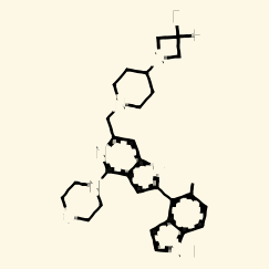 Fc1ccc2[nH]ccc2c1-c1cc2c(N3CCOCC3)nc(CN3CCC(N4CC(F)(F)C4)CC3)cc2o1